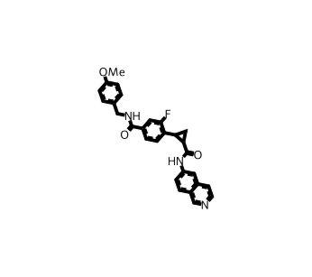 COc1ccc(CNC(=O)c2ccc(C3CC3C(=O)Nc3ccc4cnccc4c3)c(F)c2)cc1